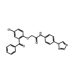 O=C(COc1ccc(Cl)cc1C(=O)c1ccccc1)Nc1ccc(-n2cncn2)cc1